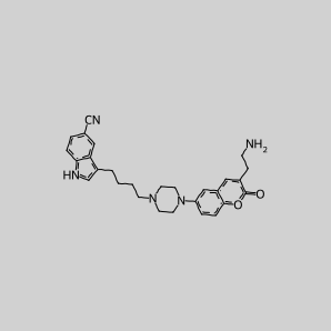 N#Cc1ccc2[nH]cc(CCCCN3CCN(c4ccc5oc(=O)c(CCN)cc5c4)CC3)c2c1